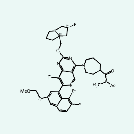 CCc1c(F)ccc2cc(OCOC)cc(-c3ncc4c(N5CCCC(C(=O)N(C)C(C)=O)CC5)nc(OC[C@@]56CCCN5C[C@H](F)C6)nc4c3F)c12